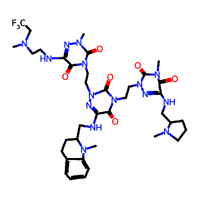 CN(CCNc1nn(C)c(=O)n(CCn2nc(NCC3CCc4ccccc4N3C)c(=O)n(CCn3nc(NCC4CCCN4C)c(=O)n(C)c3=O)c2=O)c1=O)CC(F)(F)F